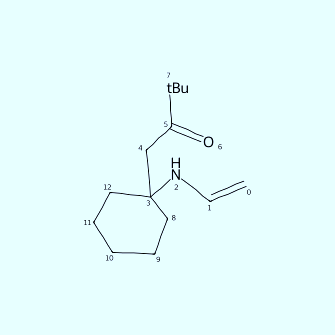 C=CNC1(CC(=O)C(C)(C)C)CCCCC1